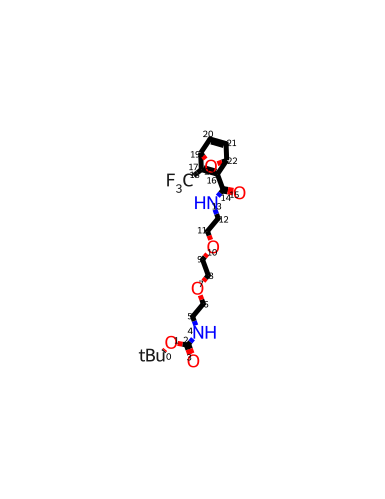 CC(C)(C)OC(=O)NCCOCCOCCNC(=O)C1=C(C(F)(F)F)C2C=CC1O2